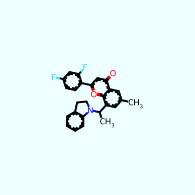 Cc1cc(C(C)N2CCc3ccccc32)c2oc(-c3ccc(F)cc3F)cc(=O)c2c1